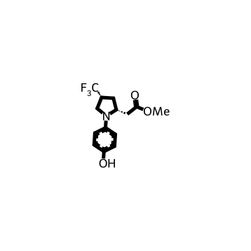 COC(=O)C[C@H]1C[C@@H](C(F)(F)F)CN1c1ccc(O)cc1